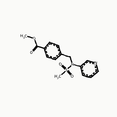 COC(=O)c1ccc(CN(c2cccnc2)S(C)(=O)=O)cc1